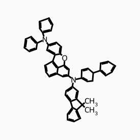 CC1(C)c2ccccc2-c2ccc(N(C3=CCC(c4ccccc4)C=C3)c3cc4c5c(cccc5c3)-c3cc(N(c5ccccc5)c5ccccc5)ccc3O4)cc21